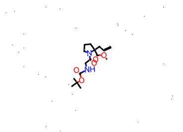 C=CCC1(C(=O)OC)CCCN1C(=O)CNC(=O)OC(C)(C)C